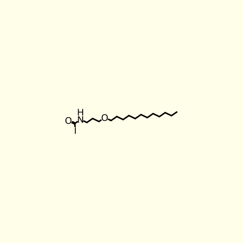 CCCCCCCCCCCCOCCCNC(=O)I